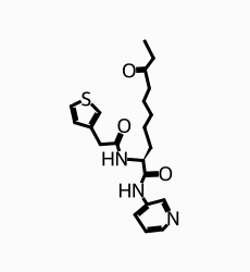 CCC(=O)CCCCC[C@H](NC(=O)Cc1ccsc1)C(=O)Nc1cccnc1